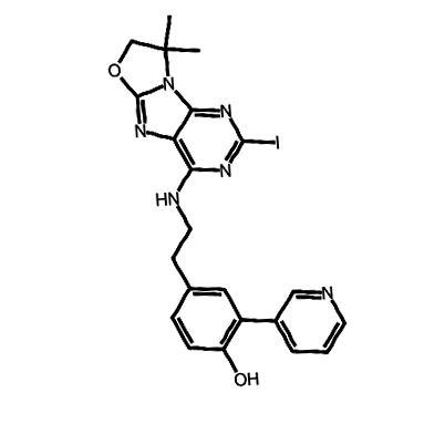 CC1(C)COc2nc3c(NCCc4ccc(O)c(-c5cccnc5)c4)nc(I)nc3n21